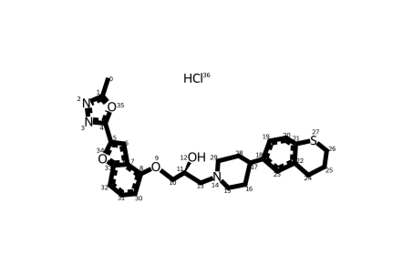 Cc1nnc(-c2cc3c(OC[C@@H](O)CN4CCC(c5ccc6c(c5)CCCS6)CC4)cccc3o2)o1.Cl